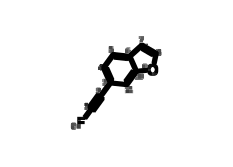 FC#Cc1ccc2[c]coc2c1